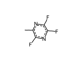 Cc1nc(F)c(F)nc1F